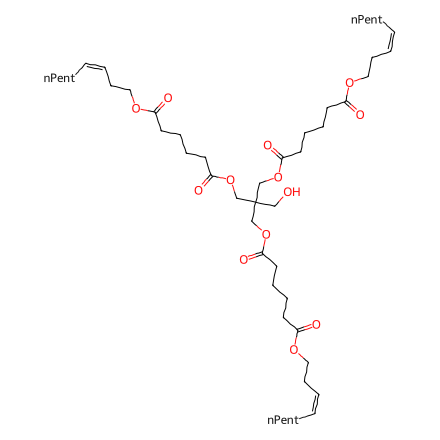 CCCCC/C=C\CCOC(=O)CCCCC(=O)OCC(CO)(COC(=O)CCCCC(=O)OCC/C=C\CCCCC)COC(=O)CCCCC(=O)OCC/C=C\CCCCC